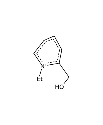 CC[n+]1ccccc1CO